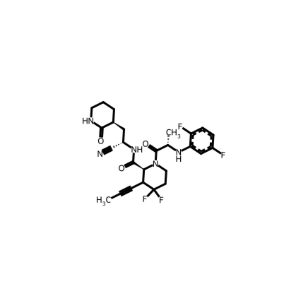 CC#CC1[C@@H](C(=O)N[C@H](C#N)C[C@@H]2CCCNC2=O)N(C(=O)[C@H](C)Nc2cc(F)ccc2F)CCC1(F)F